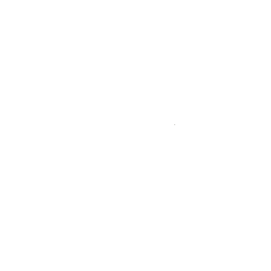 CN(c1ccccc1F)c1c(F)cccc1-c1cccc(-c2ccccc2)c1